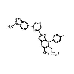 Cc1cc2nc(-c3cncc(-c4ccc5c(cnn5C)c4)n3)sc2c(-c2ccc(Cl)cc2)c1CC(=O)O